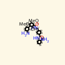 COc1cc(C(=O)NCc2ccc(C(=O)Nc3ccccc3N)cc2)c(C)c(-c2cccc(N)c2)c1OC